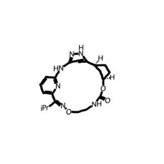 CC(C)/C1=N\OCCNC(=O)O[C@@H]2CC[C@@H](C2)c2cc(n[nH]2)Nc2cccc1n2